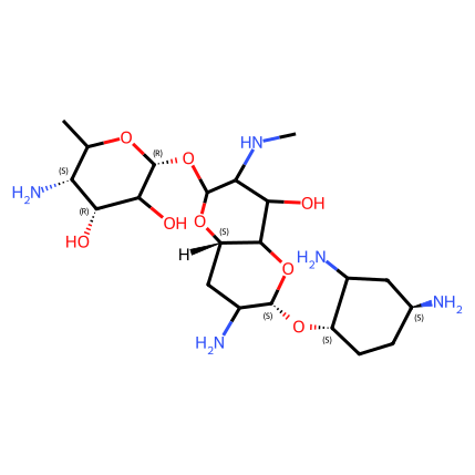 CNC1C(O[C@H]2OC(C)[C@@H](N)[C@@H](O)C2O)O[C@H]2CC(N)[C@@H](O[C@H]3CC[C@H](N)CC3N)OC2C1O